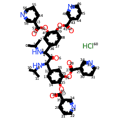 CC(C)NC(C(=O)C(NC(C)C)c1ccc(OC(=O)c2cccnc2)c(OC(=O)c2cccnc2)c1)c1ccc(OC(=O)c2cccnc2)c(OC(=O)c2cccnc2)c1.Cl